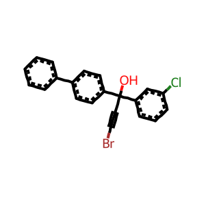 OC(C#CBr)(c1ccc(-c2ccccc2)cc1)c1cccc(Cl)c1